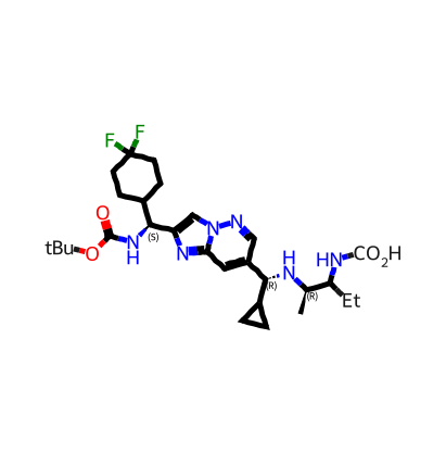 CCC(NC(=O)O)[C@@H](C)N[C@@H](c1cnn2cc([C@@H](NC(=O)OC(C)(C)C)C3CCC(F)(F)CC3)nc2c1)C1CC1